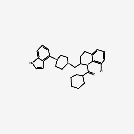 O=C(C1CCCCC1)N1c2c(Cl)cccc2CCC1CN1CCN(c2cccc3[nH]ccc23)CC1